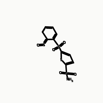 NS(=O)(=O)c1ccc(S(=O)(=O)C2=CC=CCC2=S=O)s1